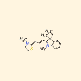 C=CC1(C)C(/C=C/C=C2\SCCN2C)=[N+](CCC)c2ccccc21